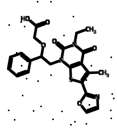 CCn1c(=O)c2c(C)c(-c3ncco3)sc2n(CC(OCC(=O)O)c2ccccc2)c1=O